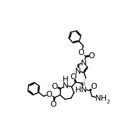 NCC(=O)N[C@@H](Cc1cn(C(=O)OCc2ccccc2)cn1)C(=O)C1CCCC(C(=O)OCc2ccccc2)C(=O)N1